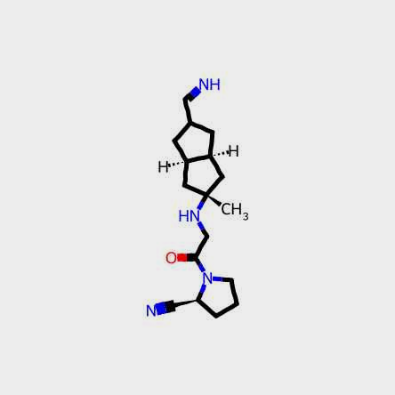 C[C@@]1(NCC(=O)N2CCC[C@H]2C#N)C[C@H]2CC(C=N)C[C@H]2C1